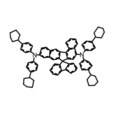 c1ccc2c(c1)-c1ccccc1C21c2cc3cc(N(c4ccc(C5CCCCC5)cc4)c4ccc(C5CCCCC5)cc4)ccc3cc2-c2c1cc(N(c1ccc(C3CCCCC3)cc1)c1ccc(C3CCCCC3)cc1)c1ccccc21